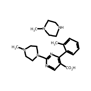 CN1CCNCC1.Cc1ccccc1-c1nc(N2CCN(C)CC2)ncc1C(=O)O